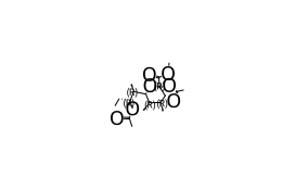 CC[C@@H](OC(C)=O)[C@@H](C)C1O[C@](OC(C)=O)(C(=O)OC)C[C@@H](C)[C@H]1C